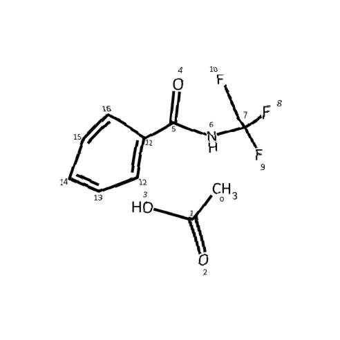 CC(=O)O.O=C(NC(F)(F)F)c1ccccc1